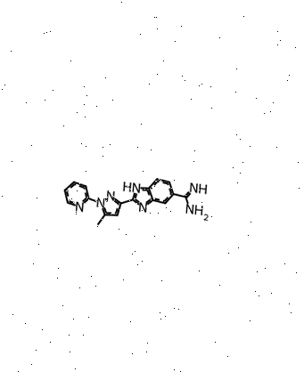 Cc1cc(-c2nc3cc(C(=N)N)ccc3[nH]2)nn1-c1ccccn1